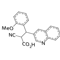 COc1ccccc1C(c1cnc2ccccc2c1)C(C#N)C(=O)O